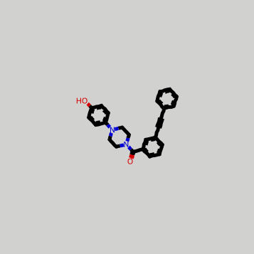 O=C(c1cccc(C#Cc2ccccc2)c1)N1CCN(c2ccc(O)cc2)CC1